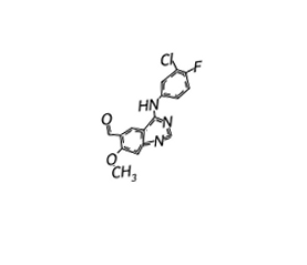 COc1cc2ncnc(Nc3ccc(F)c(Cl)c3)c2cc1C=O